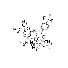 CC(C)(C)OC(=O)NC(CCC(N)=O)[C@@H](O[Si](C)(C)C(C)(C)C)c1ccc(C(F)(F)F)cc1